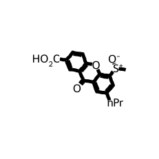 CCCc1cc([S+](C)[O-])c2oc3ccc(C(=O)O)cc3c(=O)c2c1